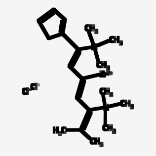 CC(C)=C(C=[C]([Zr+2])C=C(C1=CC=CC1)[Si](C)(C)C)[Si](C)(C)C.[Cl-].[Cl-]